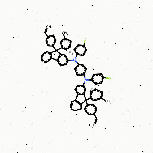 C=Cc1ccc(C2(c3cc(C)ccc3C)C3=C(C=CCC3)c3ccc(N(c4ccc(F)cc4)c4ccc(N(c5ccc(F)cc5)c5ccc6c(c5)C(c5ccc(C=C)cc5)(c5cc(C)ccc5C)c5ccccc5-6)cc4)cc32)cc1